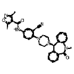 Cc1noc(C)c1C(=O)Nc1ccc(N2CCN(C3c4ccccc4C(=O)N(C)c4ccccc43)CC2)c(C#N)c1